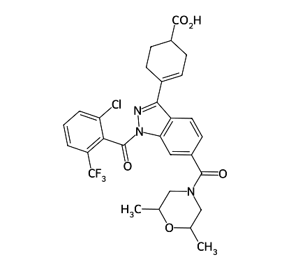 CC1CN(C(=O)c2ccc3c(C4=CCC(C(=O)O)CC4)nn(C(=O)c4c(Cl)cccc4C(F)(F)F)c3c2)CC(C)O1